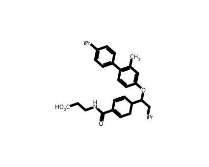 Cc1cc(OC(CC(C)C)C2C=CC(C(=O)NCCC(=O)O)=CC2)ccc1-c1ccc(C(C)C)cc1